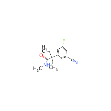 CCC(CC)(C(=O)NC)c1cc(F)cc(C#N)c1